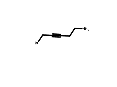 NCCC#CCBr